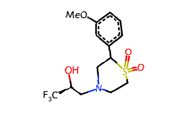 COc1cccc(C2CN(C[C@H](O)C(F)(F)F)CCS2(=O)=O)c1